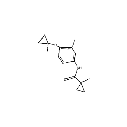 Cc1cc(NC(=O)C2(C)CC2)ccc1OC1(C)CC1